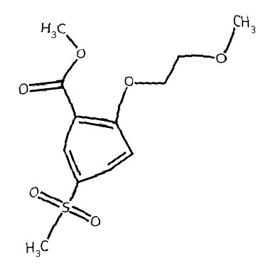 COCCOc1ccc(S(C)(=O)=O)cc1C(=O)OC